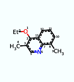 CCOc1c(C)cnc2c(C)cccc12